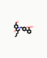 CCCCc1cn(Cc2ccc(-c3ccccc3C(=O)O)cc2)c2cc(C=O)ccc2c1=O